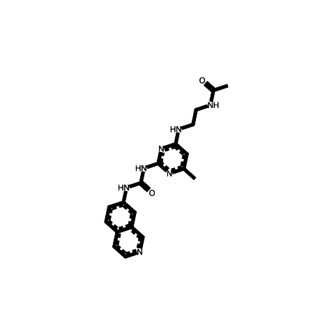 CC(=O)NCCNc1cc(C)nc(NC(=O)Nc2ccc3ccncc3c2)n1